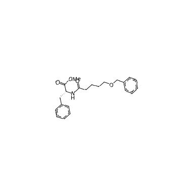 COC(=O)[C@@H](Cc1ccccc1)NC(=O)CCCCOCc1ccccc1